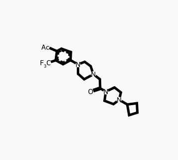 CC(=O)c1ccc(N2CCN(CC(=O)N3CCN(C4CCC4)CC3)CC2)cc1C(F)(F)F